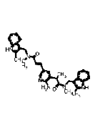 Cc1[nH]c2ccccc2c1CN(C)C(=O)C=Cc1cnc(N)c(C(C)C(=O)N(C)Cc2c(C)[nH]c3ccccc23)c1